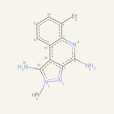 CCCn1nc2c(N)nc3c(CC)cccc3c2c1N